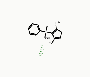 CCCC[Si](C)(C1=[C]([Ti+3])CC=C1CC)c1ccccc1.[Cl-].[Cl-].[Cl-]